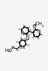 COc1ncccc1-c1cccnc1Oc1ccc(CCO)cc1